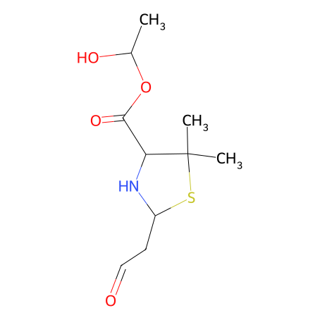 CC(O)OC(=O)C1NC(CC=O)SC1(C)C